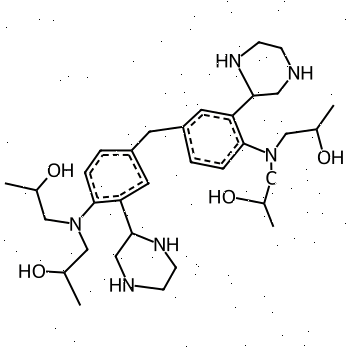 CC(O)CN(CC(C)O)c1ccc(Cc2ccc(N(CC(C)O)CC(C)O)c(C3CNCCN3)c2)cc1C1CNCCN1